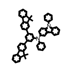 CC1(C)c2ccccc2-c2ccc(-c3cc(-c4ccc5c(c4)C(C)(C)c4ccccc4-5)cc(N(c4ccccc4)c4ccc5c(c4)c4ccccc4n5-c4ccccc4)c3)cc21